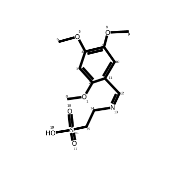 COc1cc(OC)c(OC)cc1/C=N\CCS(=O)(=O)O